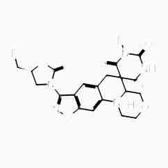 C[C@@H]1CN2c3cc4onc(N5C[C@@H](CF)OC5=O)c4cc3CC3(C(=O)NC(=O)N(F)C3=O)[C@H]2[C@H](C)O1